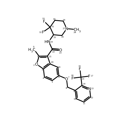 Cc1oc2ccc(OCc3cccnc3C(F)(F)F)cc2c1C(=O)NC1CN(C)CCC1(F)F